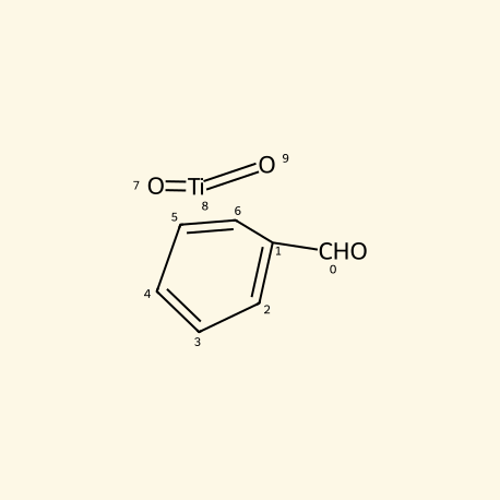 O=Cc1ccccc1.[O]=[Ti]=[O]